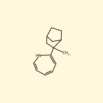 CC1(C2=CC=CC=CN2)CC2CCC1C2